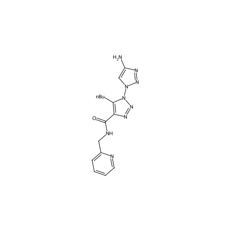 CCCCc1c(C(=O)NCc2ccccn2)nnn1-n1cc(N)nn1